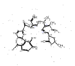 C=N/C(C)=C(\C=N/CN1CC(C)CC1=O)[C@H](C)N/C=C(\C=N)NC(=O)c1cncc(-c2c(C(F)F)ccc(Cl)c2F)n1